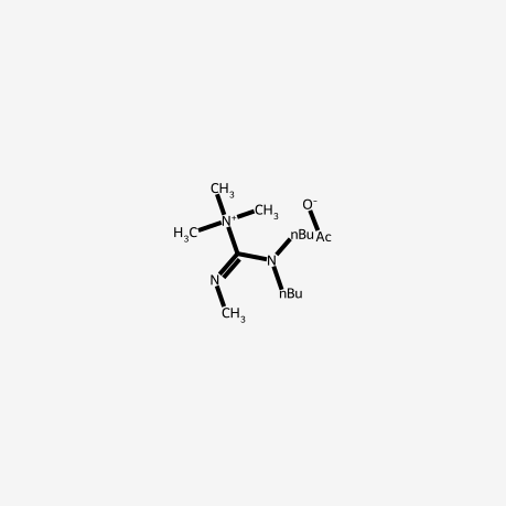 CC(=O)[O-].CCCCN(CCCC)/C(=N\C)[N+](C)(C)C